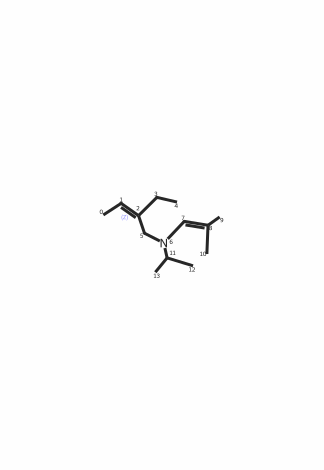 C/C=C(/CC)CN(C=C(C)C)C(C)C